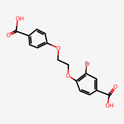 O=C(O)c1ccc(OCCOc2ccc(C(=O)O)cc2Br)cc1